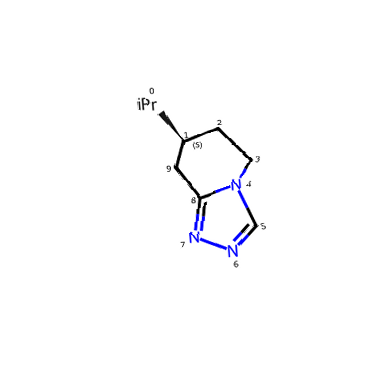 CC(C)[C@H]1CCn2cnnc2C1